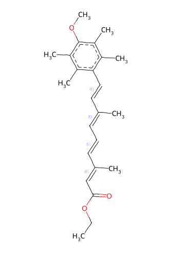 CCOC(=O)/C=C(C)/C=C/C=C(C)/C=C/c1c(C)c(C)c(OC)c(C)c1C